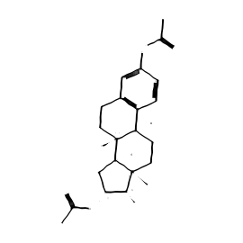 CC(=O)Oc1ccc2c(c1)CC[C@@H]1[C@@H]2CC[C@]2(C)[C@@H](O)[C@H](OC(C)=O)C[C@@H]12